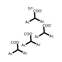 CC(=O)C(C(C)=O)C(=O)[O-].CC(=O)C(C(C)=O)C(=O)[O-].CC(=O)C(C(C)=O)C(=O)[O-].CC(=O)C(C(C)=O)C(=O)[O-].[Ti+4]